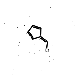 CCC=C1C=CC=C1